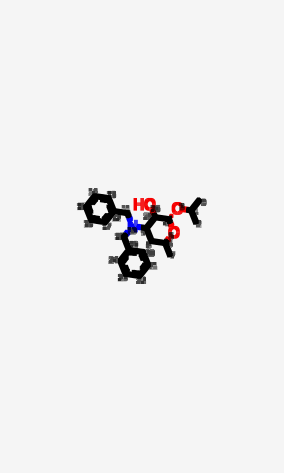 CC(C)O[C@@H]1OC(C)CC(N(Cc2ccccc2)Cc2ccccc2)C1O